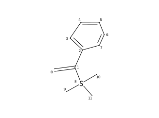 C=C(c1ccccc1)S(C)(C)C